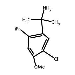 COc1cc(C(C)C)c(C(C)(C)N)cc1Cl